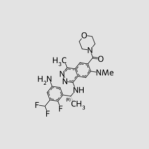 CNc1cc2c(N[C@H](C)c3cc(N)cc(C(F)F)c3F)nnc(C)c2cc1C(=O)N1CCOCC1